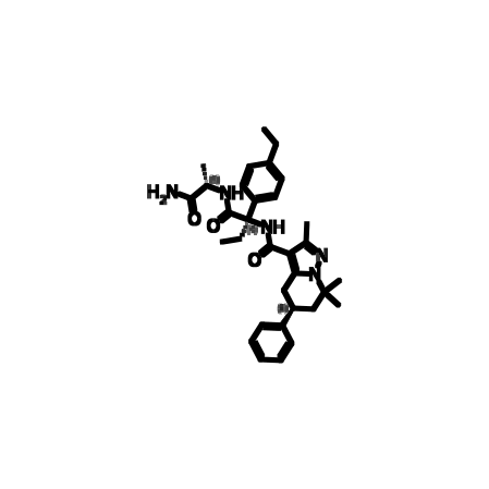 CCc1ccc([C@@](CC)(NC(=O)c2c(C)nn3c2C[C@H](c2ccccc2)CC3(C)C)C(=O)N[C@@H](C)C(N)=O)cc1